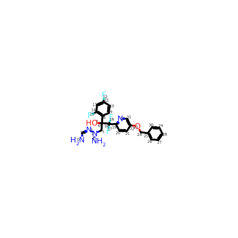 N/C=N\N(N)CC(O)(c1ccc(F)cc1F)C(F)(F)c1ccc(OCc2ccccc2)cn1